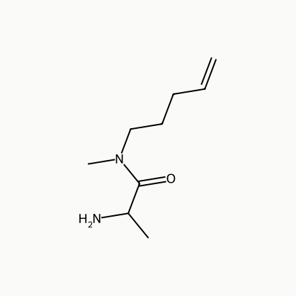 C=CCCCN(C)C(=O)C(C)N